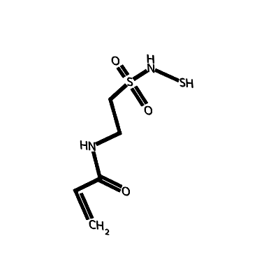 C=CC(=O)NCCS(=O)(=O)NS